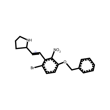 O=[N+]([O-])c1c(OCc2ccccc2)ccc(Br)c1/C=C/C1CCCN1